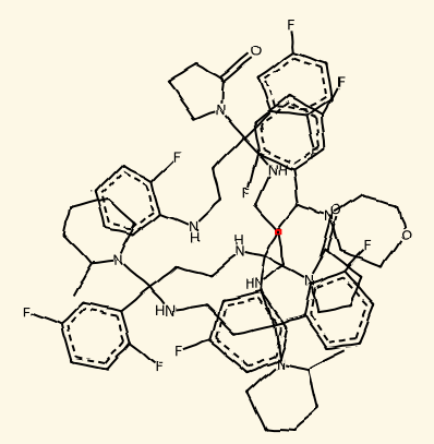 CC1CCCCN1C(CCNC(CCNC(CCNC(CCNc1cc[c]cc1F)(c1cc(F)ccc1F)N1CCCC1=O)(c1cccc(F)c1)N1CCCC1=O)(c1cc(F)ccc1F)N1CCCCC1C)(NCCC(c1cc(F)ccc1F)N1CCOCC1)c1cccc(F)c1